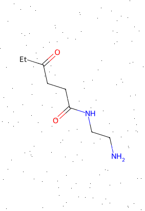 CCC(=O)CCC(=O)NCCN